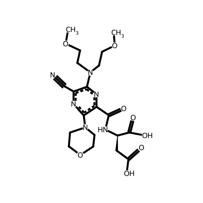 COCCN(CCOC)c1nc(C(=O)N[C@H](CC(=O)O)C(=O)O)c(N2CCOCC2)nc1C#N